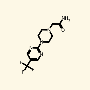 NC(=O)CN1CCN(c2ncc(C(F)(F)F)cn2)CC1